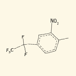 Cc1ccc(C(F)(F)C(F)(F)F)cc1[N+](=O)[O-]